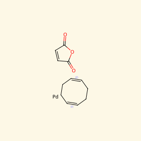 C1=C\CC/C=C\CC/1.O=C1C=CC(=O)O1.[Pd]